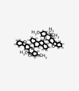 Cc1ccc2c(c1)N(c1cc3c4ccccc4c(N4c5cc(C)ccc5C(C)(C)c5cc6c(cc54)oc4ccccc46)cc3c3ccccc13)c1cc3oc4ccccc4c3cc1C2(C)C